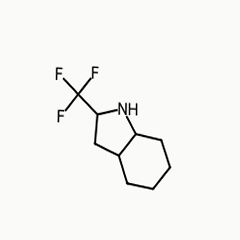 FC(F)(F)C1CC2CCCCC2N1